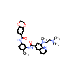 Cc1ccc(NC(=O)c2ccc3c(c2)OCCO3)cc1NC(=O)c1cc(N(C)CCN(C)C)c2ncccc2c1